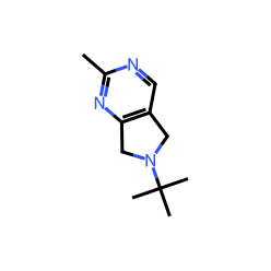 Cc1ncc2c(n1)CN(C(C)(C)C)C2